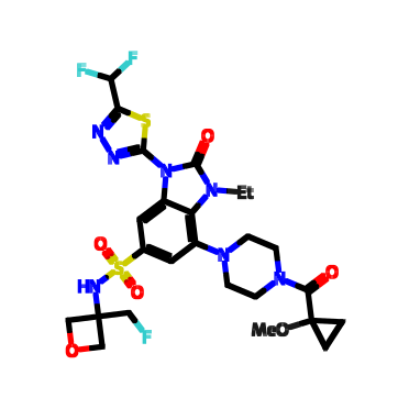 CCn1c(=O)n(-c2nnc(C(F)F)s2)c2cc(S(=O)(=O)NC3(CF)COC3)cc(N3CCN(C(=O)C4(OC)CC4)CC3)c21